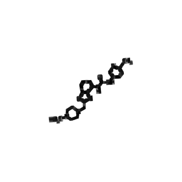 Cc1ccc(NC(=O)Nc2cccc3oc(CN4CCN(C(=O)O)CC4)nc23)cn1